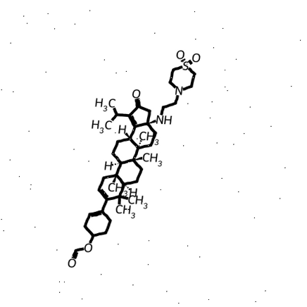 CC(C)C1=C2[C@H]3CC[C@@H]4[C@@]5(C)CC=C(C6=CCC(OC=O)CC6)C(C)(C)[C@@H]5CC[C@@]4(C)[C@]3(C)CC[C@@]2(NCCN2CCS(=O)(=O)CC2)CC1=O